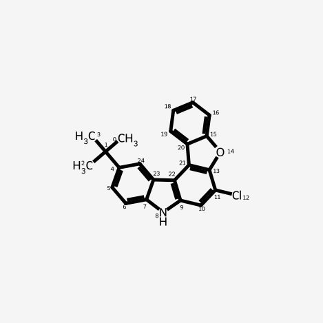 CC(C)(C)c1ccc2[nH]c3cc(Cl)c4oc5ccccc5c4c3c2c1